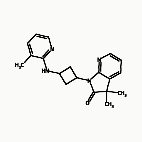 Cc1cccnc1NC1CC(N2C(=O)C(C)(C)c3cccnc32)C1